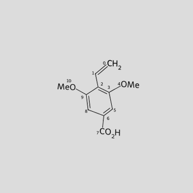 C=Cc1c(OC)cc(C(=O)O)cc1OC